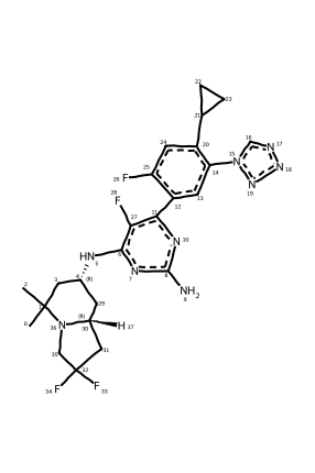 CC1(C)C[C@H](Nc2nc(N)nc(-c3cc(-n4cnnn4)c(C4CC4)cc3F)c2F)C[C@@H]2CC(F)(F)CN21